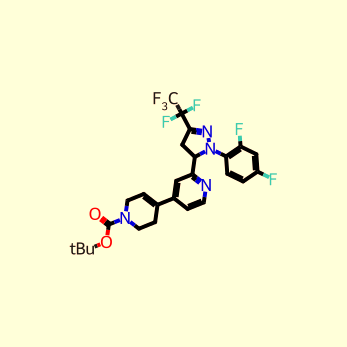 CC(C)(C)OC(=O)N1CC=C(c2ccnc(C3CC(C(F)(F)C(F)(F)F)=NN3c3ccc(F)cc3F)c2)CC1